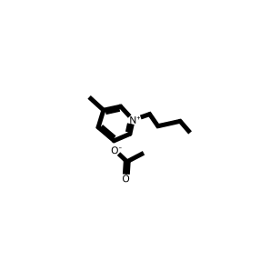 CC(=O)[O-].CCCC[n+]1cccc(C)c1